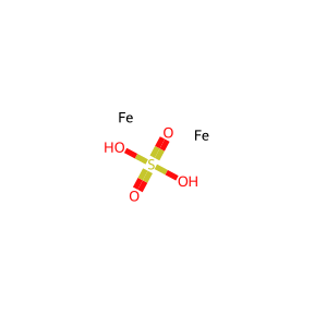 O=S(=O)(O)O.[Fe].[Fe]